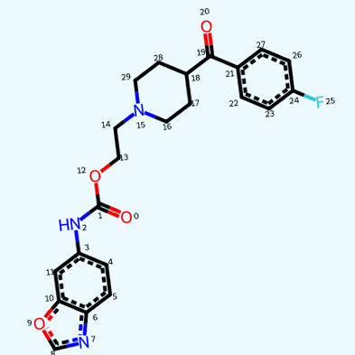 O=C(Nc1ccc2ncoc2c1)OCCN1CCC(C(=O)c2ccc(F)cc2)CC1